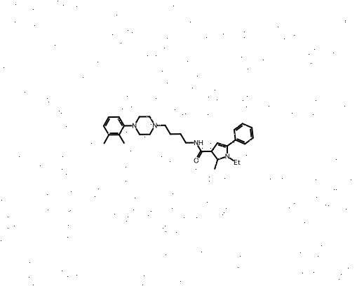 CCN1C(c2ccccc2)=CC(C(=O)NCCCCN2CCN(c3cccc(C)c3C)CC2)C1C